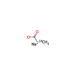 [13CH3]CC(=O)[O-].[Na+]